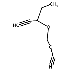 C#CC(CC)OCCC#N